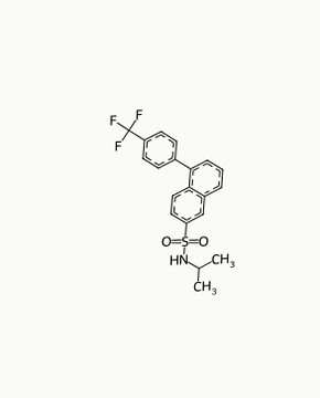 CC(C)NS(=O)(=O)c1ccc2c(-c3ccc(C(F)(F)F)cc3)cccc2c1